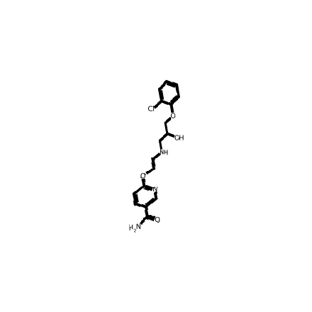 NC(=O)c1ccc(OCCNCC(O)COc2ccccc2Cl)nc1